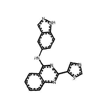 c1ccc2c(Nc3ccc4[nH]ncc4c3)nc(-c3cncs3)nc2c1